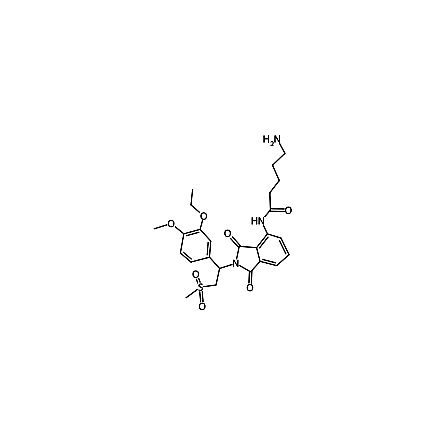 CCOc1cc(C(CS(C)(=O)=O)N2C(=O)c3cccc(NC(=O)CCCCN)c3C2=O)ccc1OC